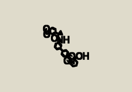 O=C(Nc1cccc(-c2ccc(S(=O)(=O)N3CCCCC3CO)cc2)c1)C1(c2ccc3c(c2)OCO3)CC1